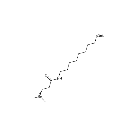 CCCCCCCCCCCCCCCCCCNC(=O)C[CH2][SnH]([CH3])[CH3]